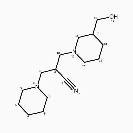 N#CC(CN1CCCCC1)CN1CCCC(CO)C1